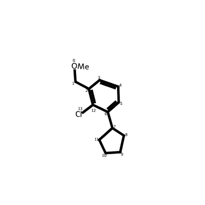 COCc1cccc(C2CCCC2)c1Cl